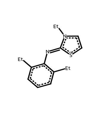 CCc1cccc(CC)c1N=c1sccn1CC